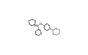 c1ccc([SiH](Oc2ccc(C3SCCCS3)cc2)c2ccccc2)cc1